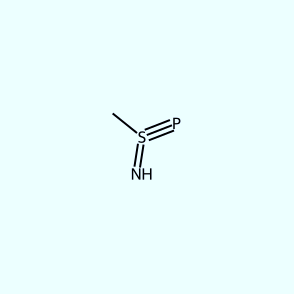 CS(=N)#P